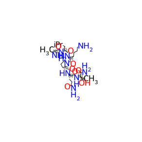 CC(C)C[C@H](NC(=O)[C@H](C)N)C(=O)N[C@@H](CCCCN)C(=O)N1CCC[C@H]1C(=O)N[C@@H](CCC(N)=O)C(=O)N[C@H](C(N)=O)[C@@H](C)O